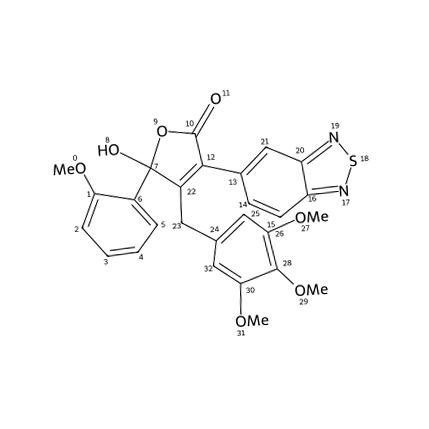 COc1ccccc1C1(O)OC(=O)C(c2ccc3nsnc3c2)=C1Cc1cc(OC)c(OC)c(OC)c1